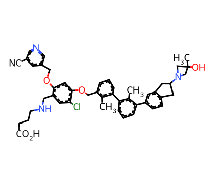 Cc1c(COc2cc(OCc3cncc(C#N)c3)c(CNCCCC(=O)O)cc2Cl)cccc1-c1cccc(-c2ccc3c(c2)CC(N2CC(C)(O)C2)C3)c1C